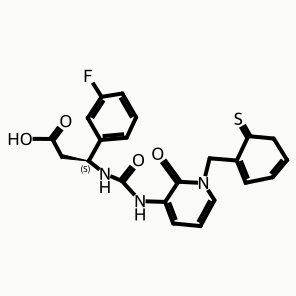 O=C(O)C[C@H](NC(=O)Nc1cccn(CC2=CC=CCC2=S)c1=O)c1cccc(F)c1